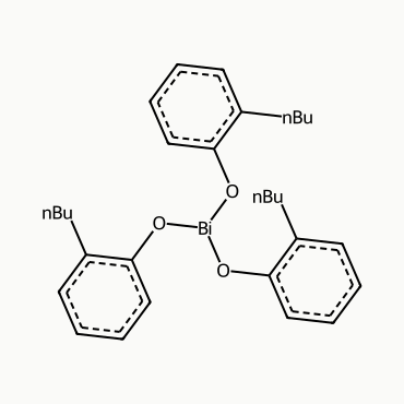 CCCCc1ccccc1[O][Bi]([O]c1ccccc1CCCC)[O]c1ccccc1CCCC